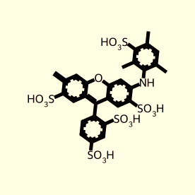 C=c1cc2c(cc1S(=O)(=O)O)=C(c1ccc(S(=O)(=O)O)cc1S(=O)(=O)O)c1cc(S(=O)(=O)O)c(Nc3c(C)cc(C)c(S(=O)(=O)O)c3C)cc1O2